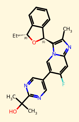 CC[C@H]1O[C@H](c2c(C)nc3cc(F)c(-c4cnc(C(C)(C)O)nc4)cn23)c2ccccc21